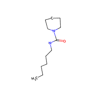 CCCCCC[N]C(=O)N1CCCCC1